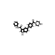 O=C(Nc1ccncc1)c1c[nH]c2ccc(-c3ccc(C(=O)N4CCNCC4)cc3)cc12